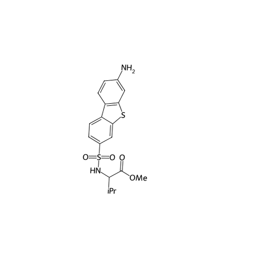 COC(=O)C(NS(=O)(=O)c1ccc2c(c1)sc1cc(N)ccc12)C(C)C